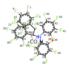 O=C(O)[C@@](Cc1c(F)c(F)c(F)c(F)c1F)(c1c(F)c(F)c(F)c(F)c1F)N(c1c(F)c(F)c(F)c(F)c1F)c1c(F)c(F)c(F)c(F)c1F